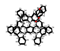 c1ccc(-c2ccc3c(c2)c2ccccc2n3-c2c(-c3nc(-c4ccccc4)cc(-c4ccccc4)n3)c(-n3c4ccccc4c4ccccc43)cc(-n3c4ccccc4c4ccccc43)c2-c2nc(-c3ccccc3)cc(-c3ccccc3)n2)cc1